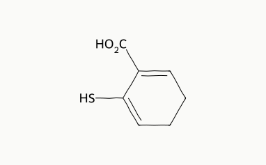 O=C(O)C1=CCCC=C1S